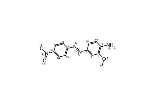 COc1cc(/N=N/c2ccc([N+](=O)[O-])cc2)ccc1N